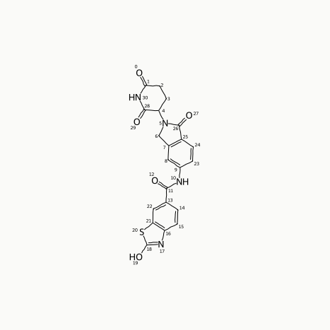 O=C1CCC(N2Cc3cc(NC(=O)c4ccc5nc(O)sc5c4)ccc3C2=O)C(=O)N1